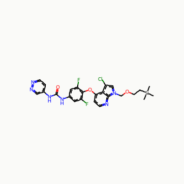 C[Si](C)(C)CCOCn1cc(Cl)c2c(Oc3c(F)cc(NC(=O)Nc4ccnnc4)cc3F)ccnc21